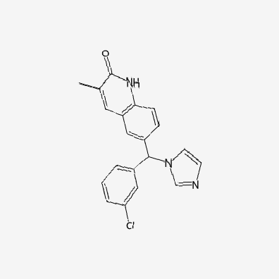 Cc1cc2cc(C(c3cccc(Cl)c3)n3ccnc3)ccc2[nH]c1=O